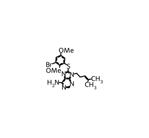 COc1cc(Br)c(OC)c(Sc2nc3c(N)ncnc3n2CCC=C(C)C)c1